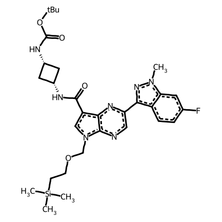 Cn1nc(-c2cnc3c(n2)c(C(=O)N[C@H]2C[C@@H](NC(=O)OC(C)(C)C)C2)cn3COCC[Si](C)(C)C)c2ccc(F)cc21